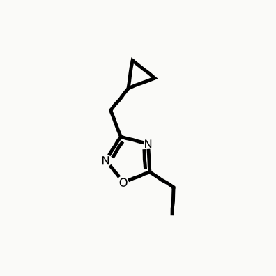 CCc1nc(CC2CC2)no1